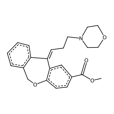 COC(=O)c1ccc2c(c1)C(=CCCN1CCOCC1)c1ccccc1CO2